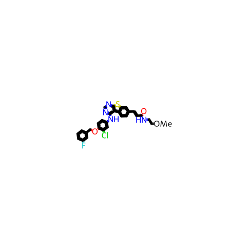 COCCNC(=O)C=Cc1ccc2c(c1)sc1ncnc(Nc3ccc(OCc4cccc(F)c4)c(Cl)c3)c12